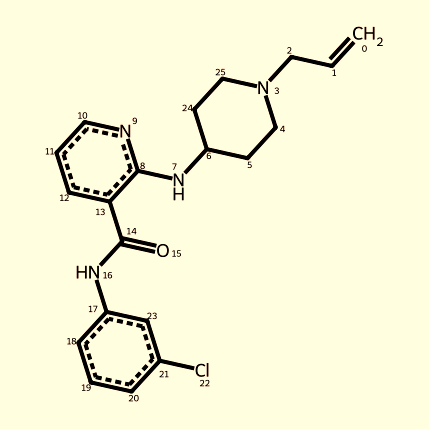 C=CCN1CCC(Nc2ncccc2C(=O)Nc2cccc(Cl)c2)CC1